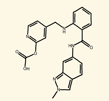 Cn1cc2ccc(NC(=O)c3ccccc3NCc3ccnc(OC(=O)O)c3)cc2n1